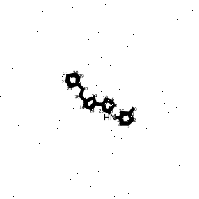 Cc1cccc(Nc2cccc(C3=CC=C(CCc4ccccc4)C3)c2)c1